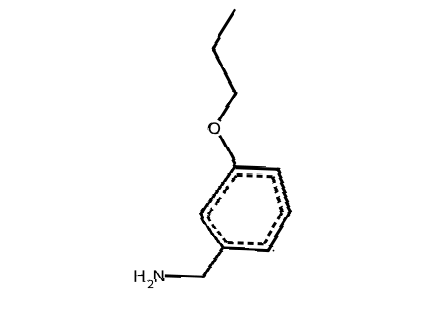 CCCOc1cc[c]c(CN)c1